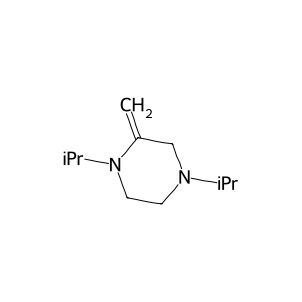 C=C1CN(C(C)C)CCN1C(C)C